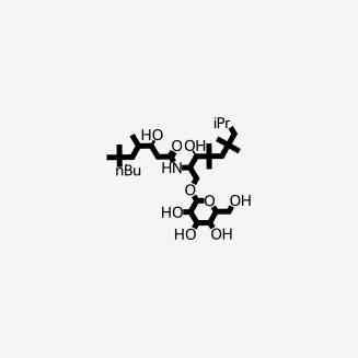 CCCCC(C)(C)CC(C)[C@@H](O)CC(=O)NC(COC1OC(CO)C(O)C(O)C1O)[C@H](O)C(C)(C)CC(C)(C)CC(C)C